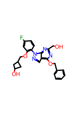 OCc1nc(OCc2ccccc2)c2cnn(-c3ccc(F)cc3OCC3CC(O)C3)c2n1